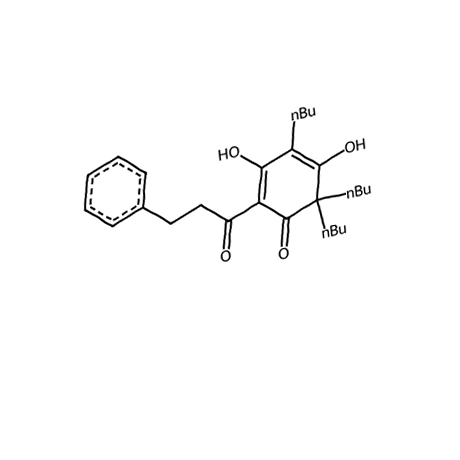 CCCCC1=C(O)C(CCCC)(CCCC)C(=O)C(C(=O)CCc2ccccc2)=C1O